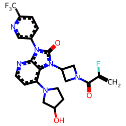 C=C(F)C(=O)N1CC(n2c(=O)n(-c3ccc(C(F)(F)F)nc3)c3nccc(N4CCC(O)C4)c32)C1